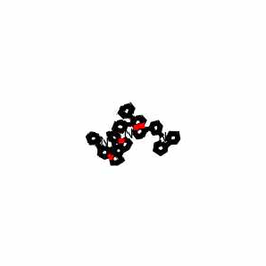 c1ccc(-c2ccccc2-c2ccccc2N(c2ccc(-c3cccc(-n4c5ccccc5c5ccccc54)c3)cc2)c2ccc3c(c2)C2(c4ccccc4-3)c3ccccc3-n3c4ccccc4c4cccc2c43)cc1